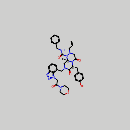 C=CCN1CC(=O)N2[C@@H](Cc3ccc(O)cc3)C(=O)N(Cc3cccc4nnn(CC(=O)N5CCOCC5)c34)C[C@@H]2N1C(=O)NCc1ccccc1